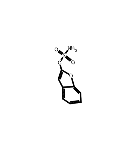 NS(=O)(=O)Oc1cc2ccccc2o1